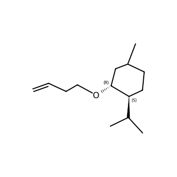 C=CCCO[C@@H]1CC(C)CC[C@H]1C(C)C